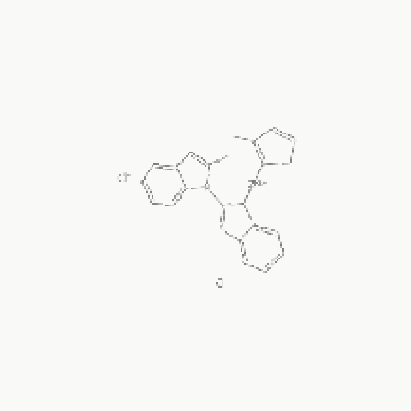 CC1=[C]([Zr+2][CH]2C(n3c(C)cc4ccccc43)=Cc3ccccc32)CC=C1.[Cl-].[Cl-]